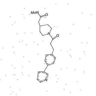 CNC(=O)CC1CCN(C(=O)CCc2ccc(-c3cccnc3)cc2)CC1